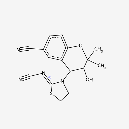 CC1(C)Oc2ccc(C#N)cc2C(N2CCS/C2=N\C#N)C1O